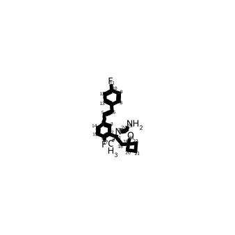 C[C@@]1(c2cc(C=Cc3ccc(F)cc3)ccc2F)CC2(CCC2)OC(N)=N1